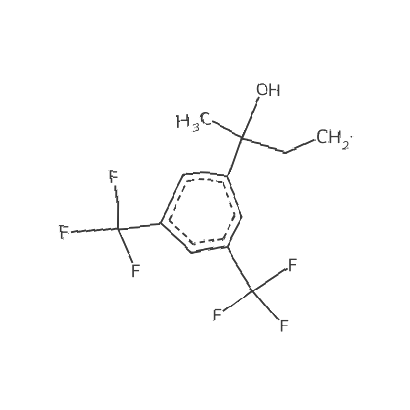 [CH2]CC(C)(O)c1cc(C(F)(F)F)cc(C(F)(F)F)c1